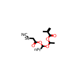 C=C(C)C(=O)OC(C)OC(CCC)OC(=O)C[Se]C#N